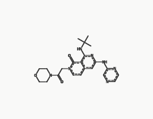 CC(C)(C)Nc1nc(Nc2cnccn2)cc2ccn(CC(=O)N3CCOCC3)c(=O)c12